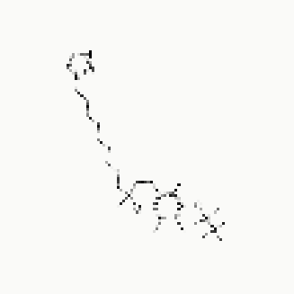 Cc1c(C)c2c(c(C)c1O[Si](C)(C)C(C)(C)C)CCC(C)(CCCCCCCCCn1ccnn1)O2